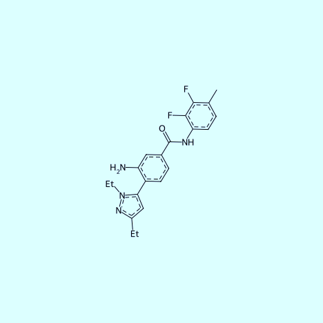 CCc1cc(-c2ccc(C(=O)Nc3ccc(C)c(F)c3F)cc2N)n(CC)n1